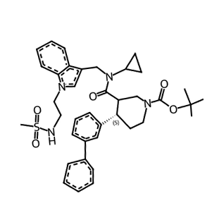 CC(C)(C)OC(=O)N1CC[C@H](c2cccc(-c3ccccc3)c2)C(C(=O)N(Cc2cn(CCNS(C)(=O)=O)c3ccccc23)C2CC2)C1